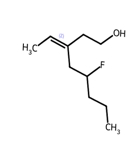 C/C=C(/CCO)CC(F)CCC